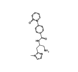 Cn1ccnc1CC(CN)NC(=O)c1ccc(-n2ccccc2=O)cc1